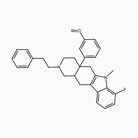 COc1cccc(C23CCN(CCc4ccccc4)CC2Cc2c(n(C)c4c(F)cccc24)C3)c1